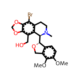 COc1ccc2c(c1OC)CO[C@@H]2[C@H]1c2c(c(Br)c3c(c2CO)OCO3)CCN1C